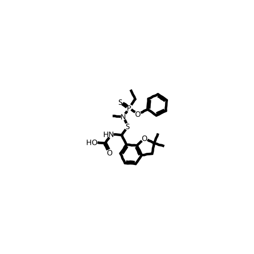 CCP(=S)(Oc1ccccc1)N(C)SC(NC(=O)O)c1cccc2c1OC(C)(C)C2